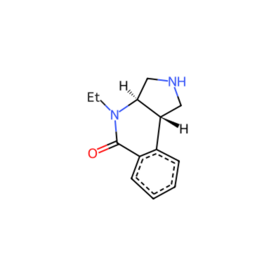 CCN1C(=O)c2ccccc2[C@H]2CNC[C@@H]21